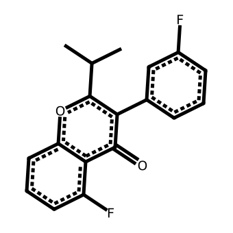 CC(C)c1oc2cccc(F)c2c(=O)c1-c1cccc(F)c1